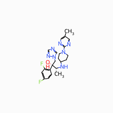 Cc1cnc(N2CCC(N[C@H](C)[C@](O)(Cn3cncn3)c3ccc(F)cc3F)CC2)nc1